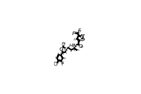 C=C(CCN1CC(c2ccc(Cl)c(F)c2)OC1=O)NC(=O)c1cc(C(F)F)no1